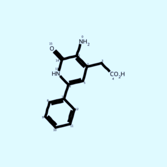 Nc1c(CC(=O)O)cc(-c2ccccc2)[nH]c1=O